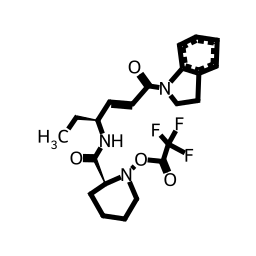 CC[C@@H](/C=C/C(=O)N1CCc2ccccc21)NC(=O)[C@@H]1CCCCN1OC(=O)C(F)(F)F